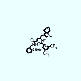 COc1ccccc1CNC(=O)C=CC(Cc1cn(C)c2ccccc12)N(C)C(=O)c1cc(C(F)(F)F)cc(C(F)(F)F)c1